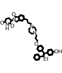 CC/C(=C(\c1ccc(O)cc1)c1ccc(OCCCN2CCCN(CCCc3ccc4c(c3)CN(C3CCC(=O)NC3=O)C4=O)CC2)cc1)c1ccccc1